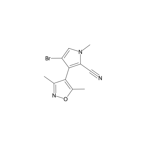 Cc1noc(C)c1-c1c(Br)cn(C)c1C#N